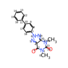 Cn1c(=O)c2nn(-c3ccc(-c4ccccc4)cc3)nc2n(C)c1=O